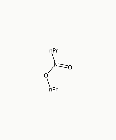 CCCO[N+](=O)CCC